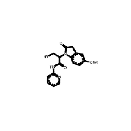 COc1ccc2c(c1)CC(=O)N2C(CC(C)C)C(=O)Nc1ccccn1